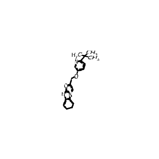 CC(C)(C)c1ccc(OCc2cn3c4c(nc3o2)=CCCC=4)cn1